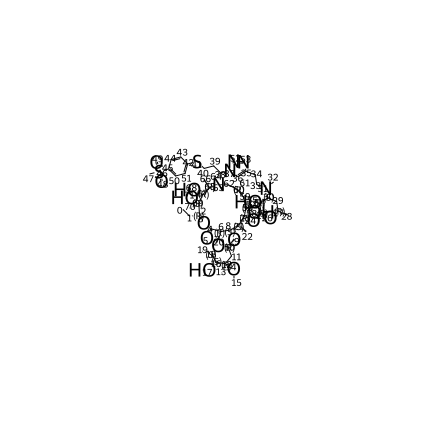 CC[C@H]1OC(=O)[C@H](C)[C@@H](O[C@H]2C[C@@](C)(OC)[C@@H](O)[C@H](C)O2)[C@H](C)[C@@H](O[C@@H]2O[C@H](C)C[C@H](N(C)CCc3cn(CCCSc4ccc(S(C)(=O)=O)cc4)nn3)[C@H]2O)[C@](C)(O)C[C@@H](C)CN(C)[C@H](C)[C@@H](O)[C@]1(C)O